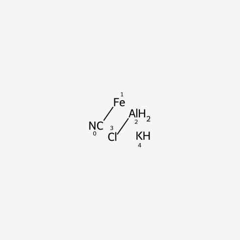 N#[C][Fe].[AlH2][Cl].[KH]